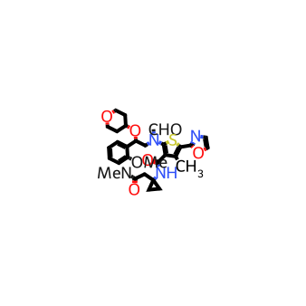 CNC(=O)CC1(NC(=O)c2c(N(C=O)CC(OC3CCOCC3)c3ccccc3OC)sc(-c3ncco3)c2C)CC1